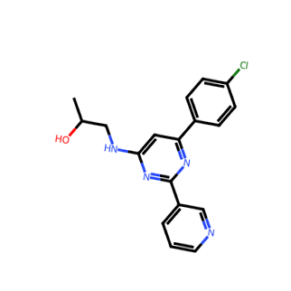 CC(O)CNc1cc(-c2ccc(Cl)cc2)nc(-c2cccnc2)n1